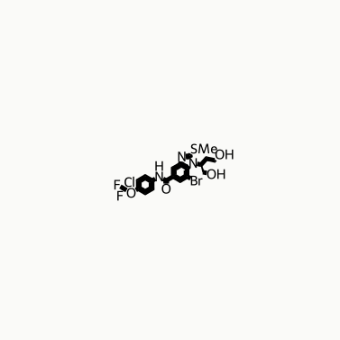 CSc1nc2cc(C(=O)Nc3ccc(OC(F)(F)Cl)cc3)cc(Br)c2n1[C@H](CO)CCO